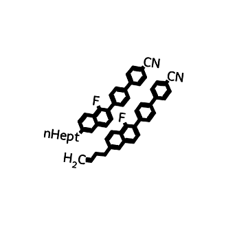 C=CCCc1ccc2c(F)c(-c3ccc(-c4ccc(C#N)cc4)cc3)ccc2c1.CCCCCCCc1ccc2c(F)c(-c3ccc(-c4ccc(C#N)cc4)cc3)ccc2c1